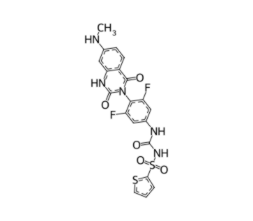 CNc1ccc2c(=O)n(-c3c(F)cc(NC(=O)NS(=O)(=O)c4cccs4)cc3F)c(=O)[nH]c2c1